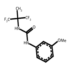 COc1cccc(NC(=O)NC(C)(C(F)(F)F)C(F)(F)F)c1